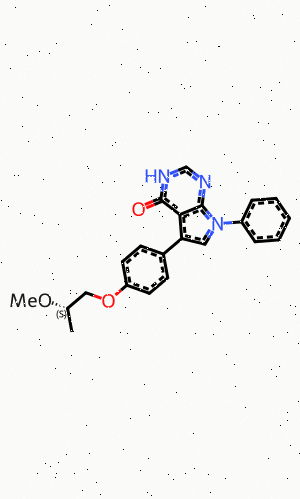 CO[C@@H](C)COc1ccc(-c2cn(-c3ccccc3)c3nc[nH]c(=O)c23)cc1